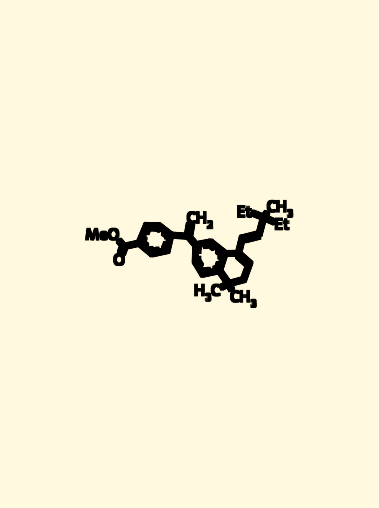 C=C(c1ccc(C(=O)OC)cc1)c1ccc2c(c1)C(C=CC(C)(CC)CC)=CCC2(C)C